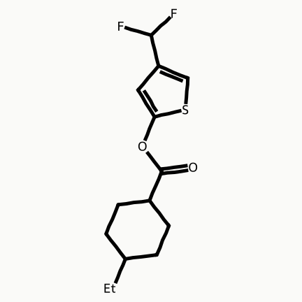 CCC1CCC(C(=O)Oc2cc(C(F)F)cs2)CC1